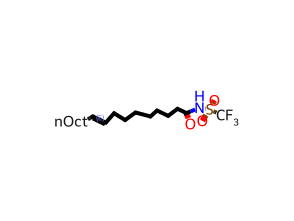 CCCCCCCC/C=C/CCCCCCCC(=O)NS(=O)(=O)C(F)(F)F